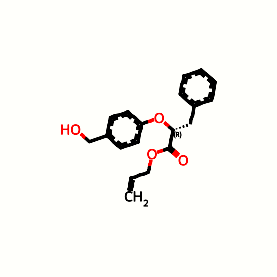 C=CCOC(=O)[C@@H](Cc1ccccc1)Oc1ccc(CO)cc1